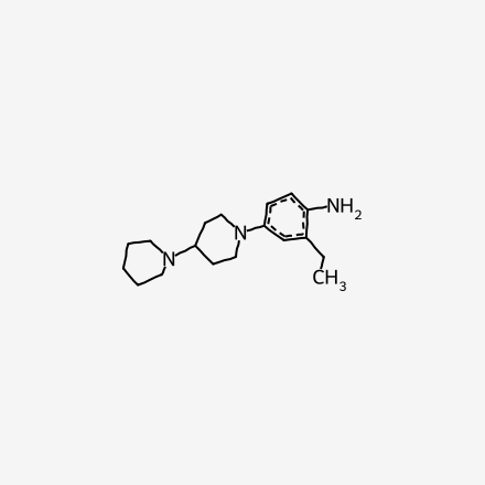 CCc1cc(N2CCC(N3CCCCC3)CC2)ccc1N